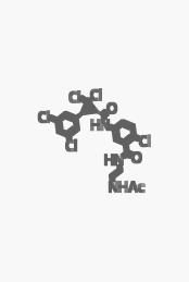 CC(=O)NCCNC(=O)c1cc(NC(=O)[C@@H]2[C@@H](c3cc(Cl)cc(Cl)c3)C2(Cl)Cl)ccc1Cl